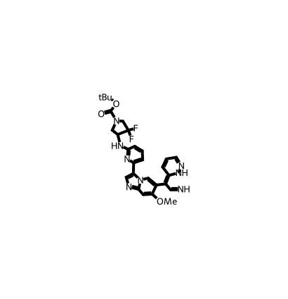 COc1cc2ncc(-c3cccc(NC4CN(C(=O)OC(C)(C)C)CC4(F)F)n3)n2cc1/C(C=N)=C1\C=CC=NN1